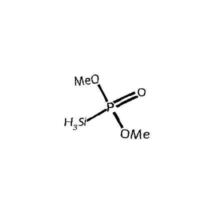 COP(=O)([SiH3])OC